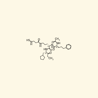 CCC(=O)[C@H](CC1CCCC1)NC(=O)[C@H](CCCNC(=O)CCNS)NC(=O)[C@H](CCCc1ccccc1)NC(C)=O